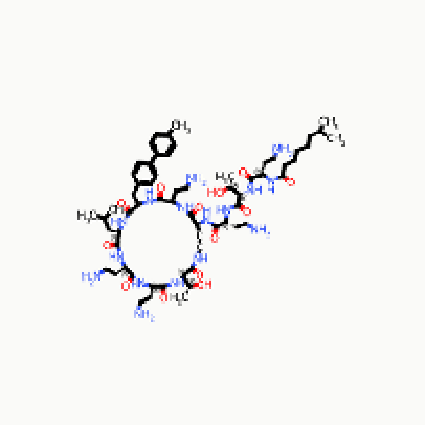 Cc1ccc(-c2ccc(CC3NC(=O)C(CCN)NC(=O)C(NC(=O)[C@@H](CCN)NC(=O)[C@@H](NC(=O)[C@@H](CCN)NC(=O)CCCCCC(C)C)[C@@H](C)O)CCNC(=O)[C@@H]([C@@H](C)O)NC(=O)[C@@H](CCN)NC(=O)[C@@H](CCN)NC(=O)[C@@H](CC(C)C)NC3=O)cc2)cc1